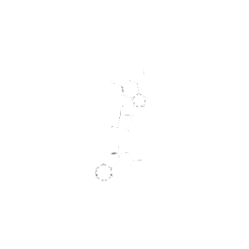 CCOC1NC(N)=Nc2c1ncn2[C@@H]1O[C@H](COP(=O)(NC(C)C(=O)O)Oc2ccccc2)[C@@H](F)[C@@]1(C)O